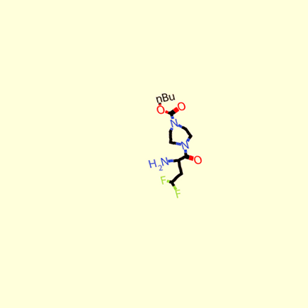 CCCCOC(=O)N1CCN(C(=O)C(N)CC(F)F)CC1